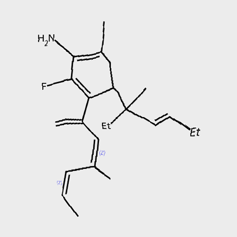 C=C(/C=C(C)\C=C/C)C1=C(F)C(N)=C(C)CC1C(C)(C=CCC)CC